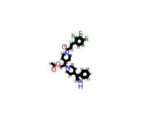 CC(=O)OCC(C1CCN(C(=O)C=Cc2ccc(F)c(F)c2F)CC1)N1CCC(c2c[nH]c3ccccc23)CC1